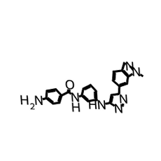 Cn1ncc2ccc(-c3cc(Nc4cccc(NC(=O)c5ccc(N)cc5)c4)ncn3)cc21